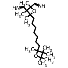 CC1(C)OC(C)(CCCCCCCC2(C)OC(C)(C=N)C2(C)C=N)C1(C)C